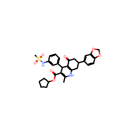 CC1=C(C(=O)OC2CCCC2)C(c2cccc(NS(C)(=O)=O)c2)C2=C(CC(c3ccc4c(c3)OCO4)CC2=O)N1